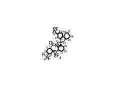 CC(F)(F)c1ccc(C(=O)NCC(Cc2ccccc2)(c2cccc(OC(F)(F)F)c2)c2cccc(OC(F)(F)F)c2)cc1